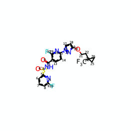 O=C(N[S+]([O-])c1cccc(F)n1)c1ccc(-n2ccc(OCCC3(C(F)(F)F)CC3)n2)nc1F